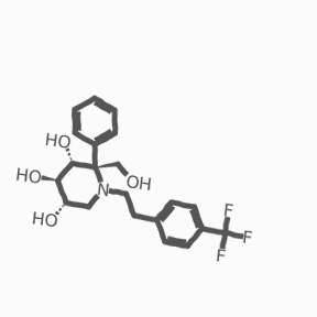 OC[C@]1(c2ccccc2)[C@@H](O)[C@H](O)[C@@H](O)CN1CCc1ccc(C(F)(F)F)cc1